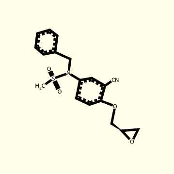 CS(=O)(=O)N(Cc1ccccc1)c1ccc(OC[C@H]2CO2)c(C#N)c1